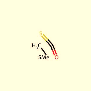 CSC.O=C=S